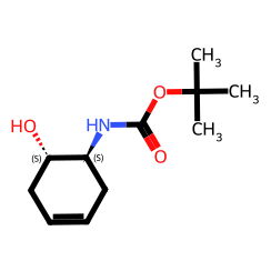 CC(C)(C)OC(=O)N[C@H]1CC=CC[C@@H]1O